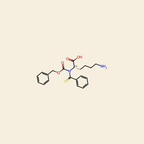 NCCCC[C@@H](C(=O)O)N(C(=O)OCc1ccccc1)C(=S)c1ccccc1